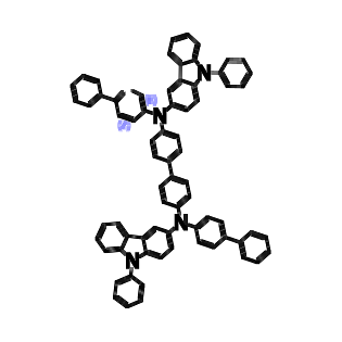 C=C(/C=C\C(=C/C)N(c1ccc(-c2ccc(N(c3ccc(-c4ccccc4)cc3)c3ccc4c(c3)c3ccccc3n4-c3ccccc3)cc2)cc1)c1ccc2c(c1)c1ccccc1n2-c1ccccc1)c1ccccc1